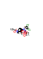 CCOP(=O)(CN(Sc1cc(Cl)cc(Cl)c1)c1ccc2c(c1)CCN2C(=O)OC(C)(C)C)OCC